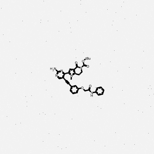 Cn1c(-c2nc(N)ncc2C#Cc2cccc(OCC(=O)Nc3ccccc3)c2)cc2c1CCN(C(=O)OC(C)(C)C)C2=O